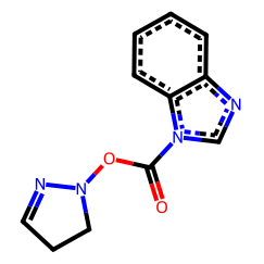 O=C(ON1CCC=N1)n1cnc2ccccc21